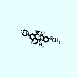 COc1ccc(C)c(C(=O)NC2(c3cc(N4CCOCC4)cc4ncccc34)CC2)c1